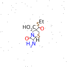 CCSC(=O)C1(C(=O)O)CS[C@@H]2C(N)C(=O)N2C1